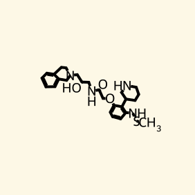 CSNc1cccc(OCC(=O)NCC(O)CN2CCc3ccccc3C2)c1C1CCCNC1